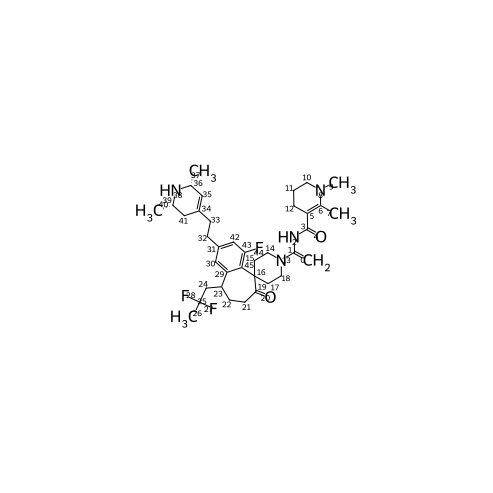 C=C(NC(=O)C1=C(C)N(C)CCC1)N1CCC2(CC1)C(=O)CCC(CC(C)(F)F)c1cc(CCC3=C[C@@H](C)N[C@@H](C)C3)cc(F)c12